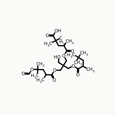 CC(CC(C)(C)C)C(=O)OCC(CO)(COC(=O)C(C)CC(C)(C)OC=O)COC(=O)C(C)CC(C)(C)C(=O)O